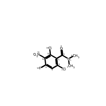 CN(C)C(=O)c1c(Cl)cc(F)c([N+](=O)[O-])c1Cl